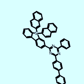 c1ccc(-c2ccc(-c3nc(-c4ccccc4)nc(-c4ccc5c(c4)[Si](c4ccc6ccccc6c4)(c4ccc6ccccc6c4)c4ccccc4-5)n3)cc2)cc1